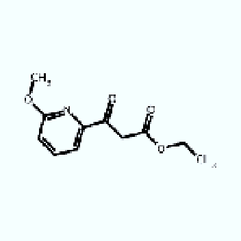 CCOC(=O)CC(=O)c1cccc(OC)n1